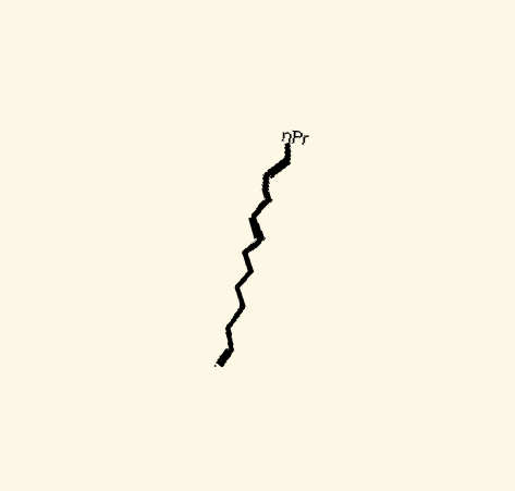 [CH]=CCCCCCC=CCC=CCCC